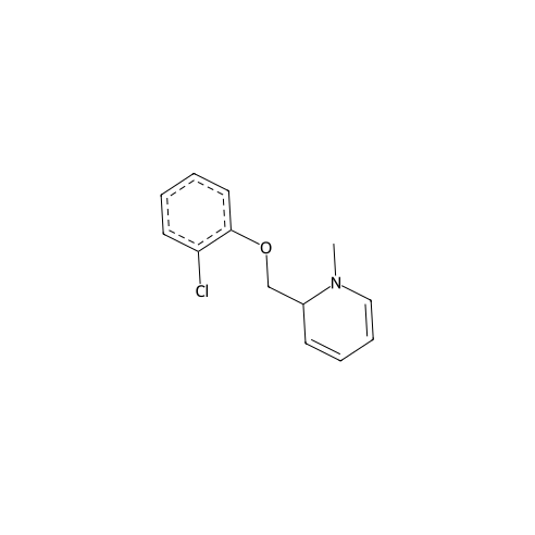 CN1C=CC=CC1COc1ccccc1Cl